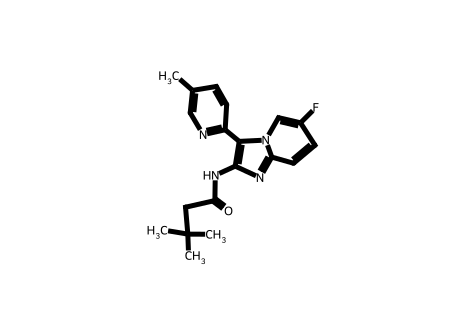 Cc1ccc(-c2c(NC(=O)CC(C)(C)C)nc3ccc(F)cn23)nc1